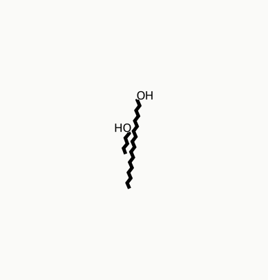 CCCCCCCCCCCCCCCCCCO.CCCCCO